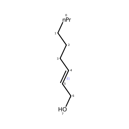 CCCCCC/C=C/[CH]O